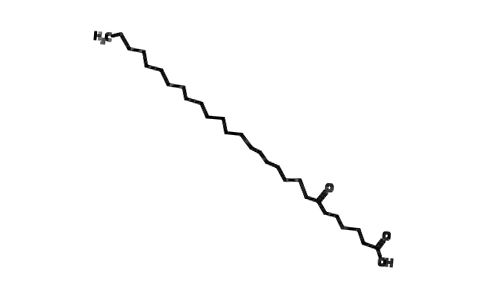 CCCCCCCCCCCCCCCCCCCCCC(=O)CCCCCC(=O)O